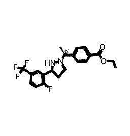 CCOC(=O)c1ccc([C@H](C)N2CCC(c3cc(C(F)(F)F)ccc3F)N2)cc1